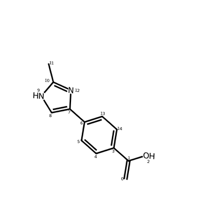 C=C(O)c1ccc(-c2c[nH]c(C)n2)cc1